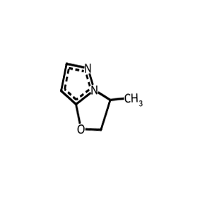 CC1COc2ccnn21